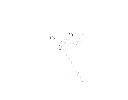 CCC(=O)NCCNC(=O)/N=C(/N)NCCC[C@@H](NC(=O)[C@H](c1cccc(NCCCNC(=O)CCCCCNC(=O)NCCON)c1)N1Cc2ccccc2C1)C(=O)NCc1ccc(O)cc1